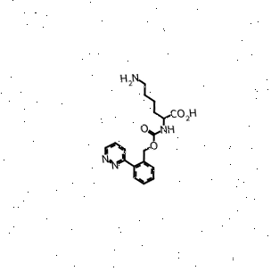 NCCCCC(NC(=O)OCc1ccccc1-c1cccnn1)C(=O)O